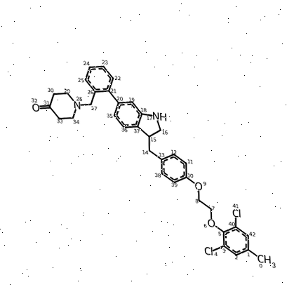 Cc1cc(Cl)c(OCCOc2ccc(CC3CNc4cc(-c5ccccc5CN5CCC(=O)CC5)ccc43)cc2)c(Cl)c1